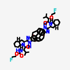 CC(C)[C@H](NC(=O)OCCF)C(=O)N1[C@H](c2nc3cc(-c4cc5ccc4CCc4ccc(c(-c6ccc7[nH]c([C@@H]8C[C@@H]9CCCC[C@@H]9N8C(=O)[C@@H](OCCF)C(C)C)nc7c6)c4)CC5)ccc3[nH]2)C[C@@H]2CCCC[C@@H]21